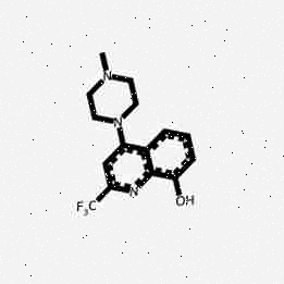 CN1CCN(c2cc(C(F)(F)F)nc3c(O)cccc23)CC1